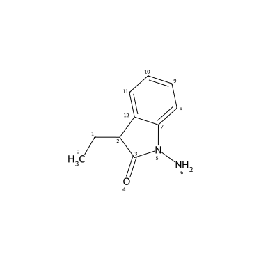 CCC1C(=O)N(N)c2ccccc21